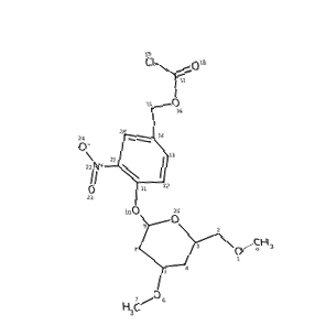 COCC1CC(OC)CC(Oc2ccc(COC(=O)Cl)cc2[N+](=O)[O-])O1